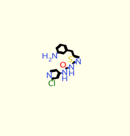 Nc1cccc(Cc2cnc(NC(=O)Nc3ccnc(Cl)c3)s2)c1